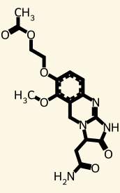 COc1c(OCCOC(C)=O)ccc2c1CN1C(=N2)NC(=O)C1CC(N)=O